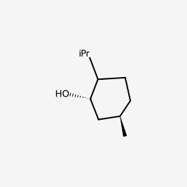 CC(C)C1CC[C@@H](C)C[C@@H]1O